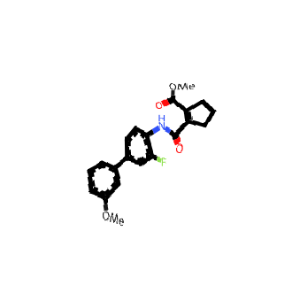 COC(=O)C1=C(C(=O)Nc2ccc(-c3cccc(OC)c3)cc2F)CCC1